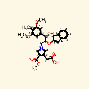 COC(=O)c1cn(C[C@H](OC2=Cc3ccccc3C2)[C@H](O)c2cc(OC)c(C)c(OC)c2)cc1CC(=O)O